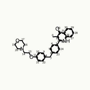 Cc1c(-c2ccc(Cc3ccc(OCCN4CCOCC4)cc3)cc2)[nH]c2ccccc2c1=O